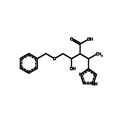 CC(c1c[nH]cn1)C(C(=O)O)C(O)COCc1ccccc1